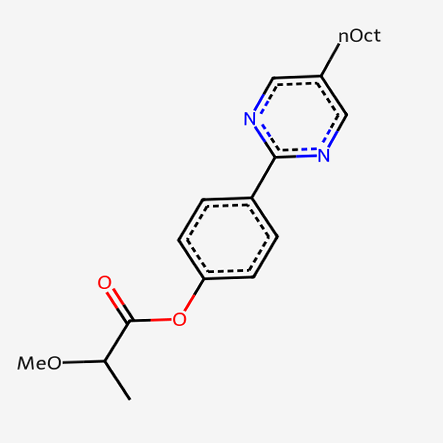 CCCCCCCCc1cnc(-c2ccc(OC(=O)C(C)OC)cc2)nc1